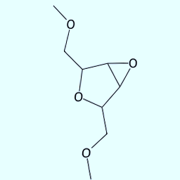 COCC1OC(COC)C2OC12